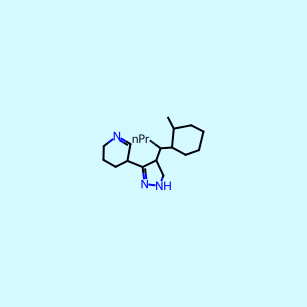 CCCC(C1CNN=C1C1C=NCCC1)C1CCCCC1C